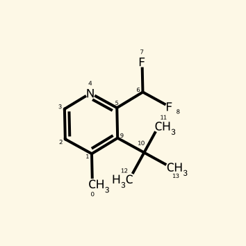 Cc1ccnc(C(F)F)c1C(C)(C)C